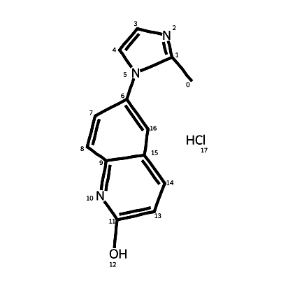 Cc1nccn1-c1ccc2nc(O)ccc2c1.Cl